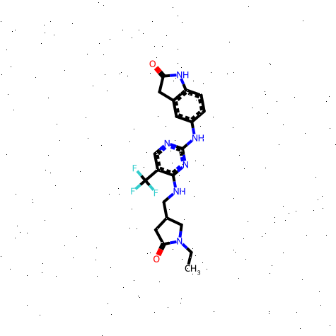 CCN1CC(CNc2nc(Nc3ccc4c(c3)CC(=O)N4)ncc2C(F)(F)F)CC1=O